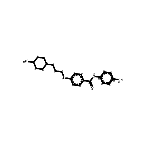 CCCC1CCC(CCCOc2ccc(C(=O)Oc3ccc(C#N)cc3)cc2)CC1